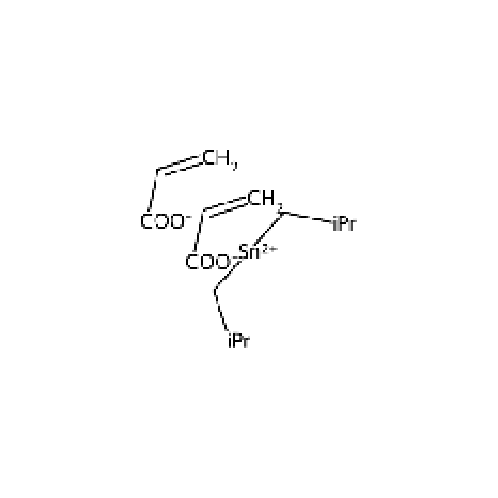 C=CC(=O)[O-].C=CC(=O)[O-].CC(C)[CH2][Sn+2][CH2]C(C)C